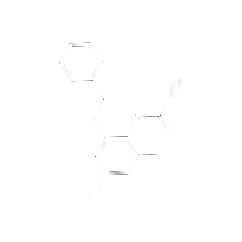 C#CC(=O)Nc1c(O)cc(O)cc1CCc1ccccc1